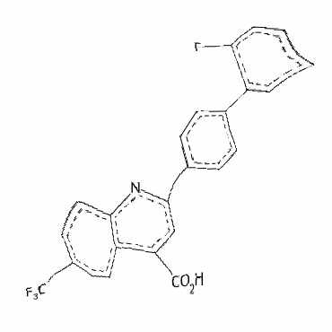 O=C(O)c1cc(-c2ccc(-c3ccccc3F)cc2)nc2ccc(C(F)(F)F)cc12